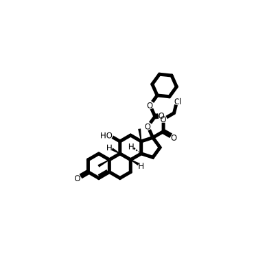 C[C@]12CCC(=O)C=C1CC[C@@H]1[C@H]2C(O)C[C@@]2(C)[C@H]1CCC2(OC(=O)OC1CCCCC1)C(=O)OCCl